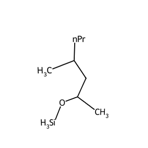 CCCC(C)CC(C)O[SiH3]